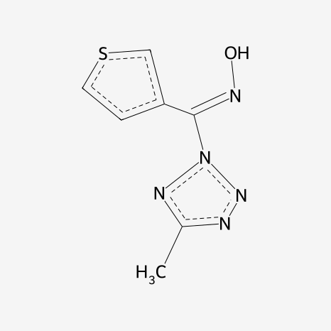 Cc1nnn(/C(=N/O)c2ccsc2)n1